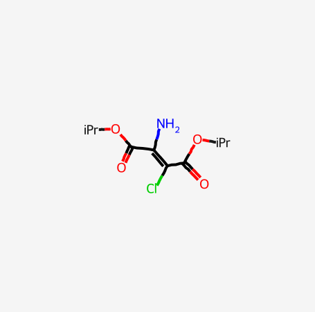 CC(C)OC(=O)C(N)=C(Cl)C(=O)OC(C)C